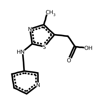 Cc1nc(Nc2cccnc2)sc1CC(=O)O